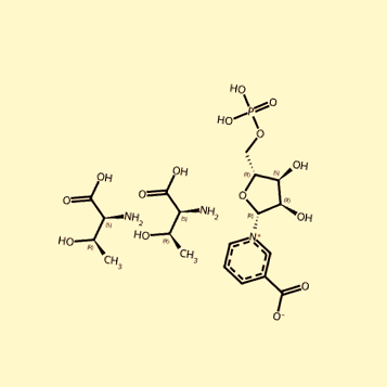 C[C@@H](O)[C@H](N)C(=O)O.C[C@@H](O)[C@H](N)C(=O)O.O=C([O-])c1ccc[n+]([C@@H]2O[C@H](COP(=O)(O)O)[C@@H](O)[C@H]2O)c1